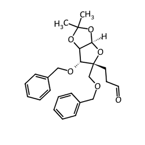 CC1(C)OC2[C@@H](O1)O[C@](CCC=O)(COCc1ccccc1)[C@@H]2OCc1ccccc1